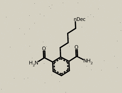 CCCCCCCCCCCCCCc1c(C(N)=O)cccc1C(N)=O